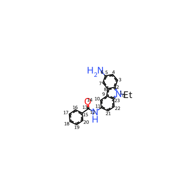 CCn1c2ccc(N)cc2c2cc(NC(=O)c3ccccc3)ccc21